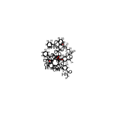 CCNC(=O)c1ccc(Oc2cc(C(C)OC(=O)N(C)CCN(C)C(=O)O[C@@H](C(=O)O[C@H]3C[C@@]4(O)[C@@H](OC(=O)c5ccccc5)[C@@H]5[C@]6(OC(C)=O)CO[C@@H]6C[C@H](O)[C@@]5(C)C(=O)[C@H](OC(C)=O)C(=C3C)C4(C)C)[C@@H](NC(=O)c3ccccc3)c3ccccc3)ccc2[N+](=O)[O-])cc1